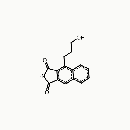 O=C1[N]C(=O)c2c1cc1ccccc1c2CCCO